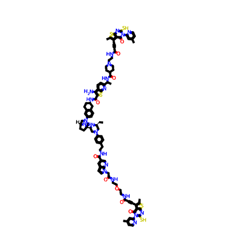 CC[C@@H]1CN(c2ccc(CCNC(=O)c3cnc4c(ccn4CC(=O)NCCOCCNC(=O)C#Cc4c(C)sc5nc(S)n(-c6cc(C)ccn6)c(=O)c45)c3)cc2)CC([C@]23CC[C@H](CN(c4ccc5c(c4)CC[C@H](NC(=O)c4sc6nc(C(C)NC(=O)C7CCN(CCNC(=O)C#Cc8c(C)sc9nc(S)n(-c%10cc(C)ccn%10)c(=O)c89)CC7)ccc6c4N)C5)C2)N3)N1